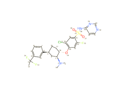 CN(C)[C@H]1C[C@@H](c2cccc(C(C)(F)F)c2)CC[C@@H]1Oc1cc(F)c(S(=O)(=O)Nc2ccncn2)cc1Cl